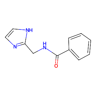 O=C(NCc1ncc[nH]1)c1ccccc1